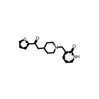 O=C(CC1CCN(Cc2ccc[nH]c2=O)CC1)c1cccs1